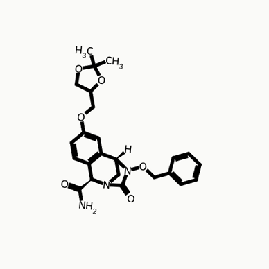 CC1(C)OCC(COc2ccc3c(c2)[C@H]2CN(C(=O)N2OCc2ccccc2)[C@H]3C(N)=O)O1